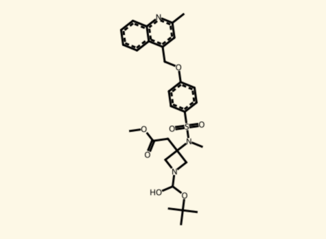 COC(=O)CC1(N(C)S(=O)(=O)c2ccc(OCc3cc(C)nc4ccccc34)cc2)CN(C(O)OC(C)(C)C)C1